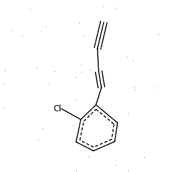 C#CC#Cc1ccccc1Cl